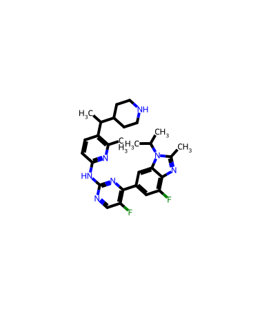 Cc1nc(Nc2ncc(F)c(-c3cc(F)c4nc(C)n(C(C)C)c4c3)n2)ccc1C(C)C1CCNCC1